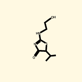 CC(C)C1SC(NCCO)=NC1=O